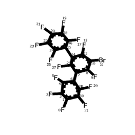 Fc1c(F)c(F)c(-c2c(F)c(Br)c(F)c(-c3c(F)c(F)c(F)c(F)c3F)c2F)c(F)c1F